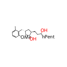 CCCCC[C@H](O)CC[C@@H]1C[C@@H](Cc2c(C)cccc2OC)C[C@H]1O